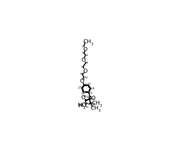 CCOCCOCCOCCOc1ccc(C2OC2(C(=O)O)C(C)(C)C)cc1